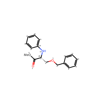 COC(=O)[C@@H](COCc1ccccc1)Nc1ccccc1